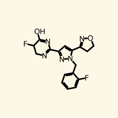 OC1=NC(c2cc(C3=NOCC3)n(Cc3ccccc3F)n2)=NCC1F